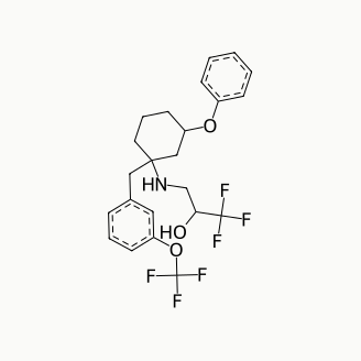 OC(CNC1(Cc2cccc(OC(F)(F)F)c2)CCCC(Oc2ccccc2)C1)C(F)(F)F